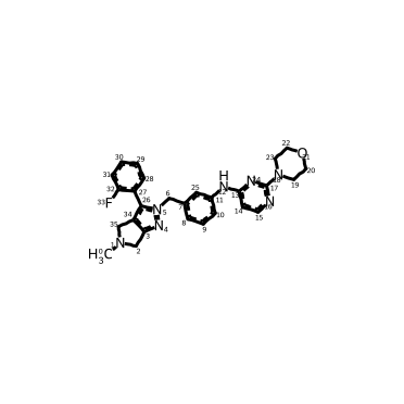 CN1Cc2nn(Cc3cccc(Nc4ccnc(N5CCOCC5)n4)c3)c(-c3ccccc3F)c2C1